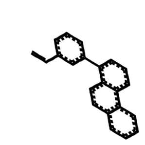 C=Cc1cccc(-c2cccc3c2ccc2ccccc23)c1